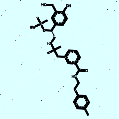 Cc1ccc(CCNC(=O)c2cccc(CC(C)(C)NC[C@H](O[Si](C)(C)C(C)(C)C)c3ccc(O)c(CO)c3)c2)cc1